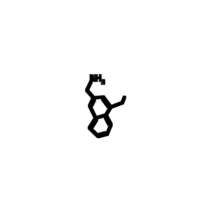 CCc1cc(CN)cc2ccccc12